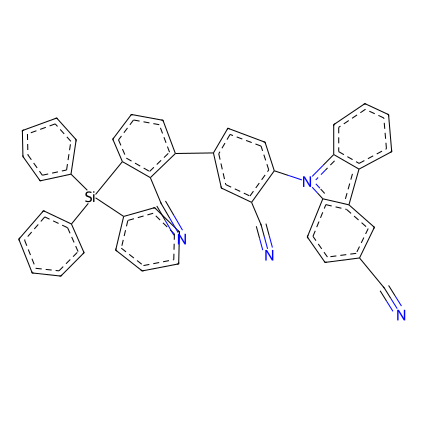 N#Cc1ccc2c(c1)c1ccccc1n2-c1ccc(-c2cccc([Si](c3ccccc3)(c3ccccc3)c3ccccc3)c2C#N)cc1C#N